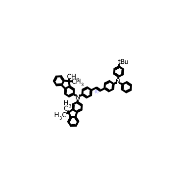 CC(C)(C)c1ccc(N(c2ccccc2)c2ccc(/C=C/c3ccc(N(c4ccc5c(c4)C(C)(C)c4ccccc4-5)c4ccc5c(c4)C(C)(C)c4ccccc4-5)cc3)cc2)cc1